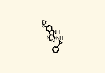 CCOc1ccc2[nH]c3c(NC4CC4c4ccccc4)ncnc3c2c1